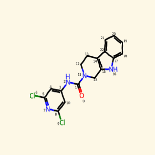 O=C(Nc1cc(Cl)nc(Cl)c1)N1CCc2c([nH]c3ccccc23)C1